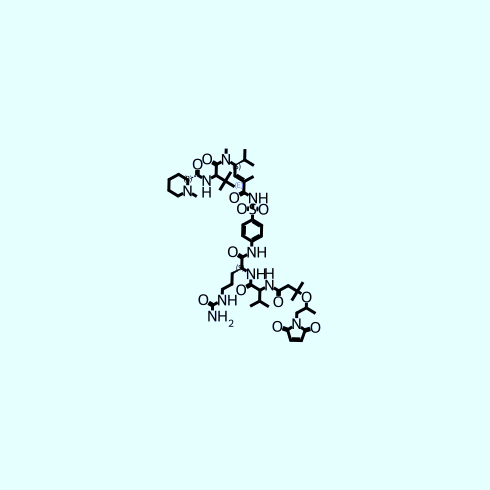 C/C(=C\[C@H](C(C)C)N(C)C(=O)C(NC(=O)[C@H]1CCCCN1C)C(C)(C)C)C(=O)NS(=O)(=O)c1ccc(NC(=O)[C@H](CCCNC(N)=O)NC(=O)C(NC(=O)CC(C)(C)OC(C)CN2C(=O)C=CC2=O)C(C)C)cc1